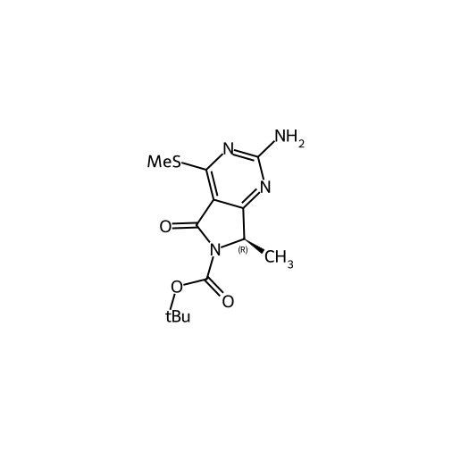 CSc1nc(N)nc2c1C(=O)N(C(=O)OC(C)(C)C)[C@@H]2C